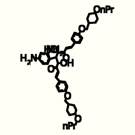 CCCOC1CCC(COc2ccc(/C=C/C(=O)C(O)C(c3ccc(N)cc3N)C(O)C(=O)/C=C/c3ccc(OCC4CCC(OCCC)CC4)cc3)cc2)CC1